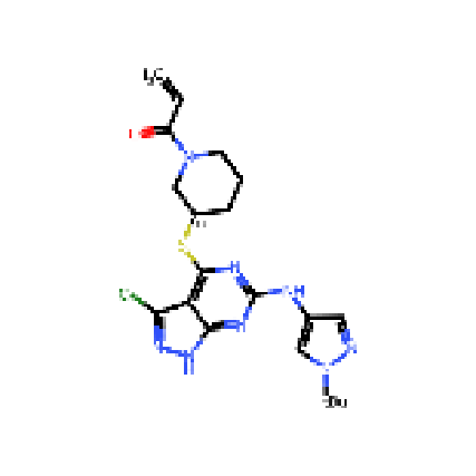 C=CC(=O)N1CCC[C@@H](Sc2nc(Nc3cnn(C(C)(C)C)c3)nc3[nH]nc(Cl)c23)C1